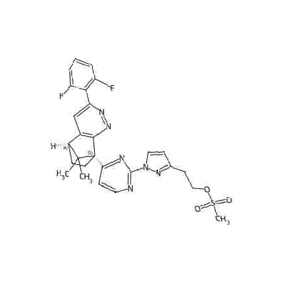 CC1(C)[C@H]2CC[C@]1(c1ccnc(-n3ccc(CCOS(C)(=O)=O)n3)n1)c1nnc(-c3c(F)cccc3F)cc12